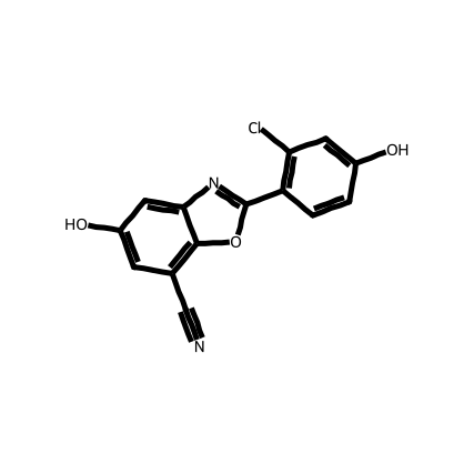 N#Cc1cc(O)cc2nc(-c3ccc(O)cc3Cl)oc12